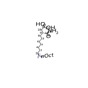 CCCCCCCC/C=C\CCCCCCC(CC(O)O)C(N)=O